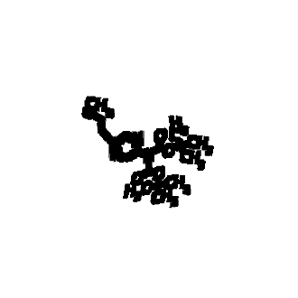 COCCc1cnc(N(C(=O)OC(C)(C)C)C(=O)OC(C)(C)C)cn1